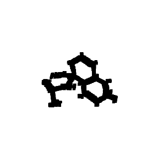 CCCC(=O)NC1(O)CC=Nc2cc(C)ccc21